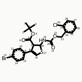 CC(C)(C)OC(=O)C1C(c2ccc(Br)cc2)=CSC1NC(=O)OCc1ccccc1Cl